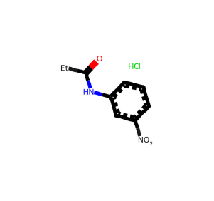 CCC(=O)Nc1cccc([N+](=O)[O-])c1.Cl